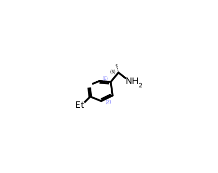 C=C(/C=C\C(=C/C)[C@H](C)N)CC